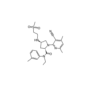 CCN(C(=O)[C@H]1C[C@@H](NCCS(C)(=O)=O)CN1c1nc(C)cc(C)c1C#N)c1cccc(C)c1